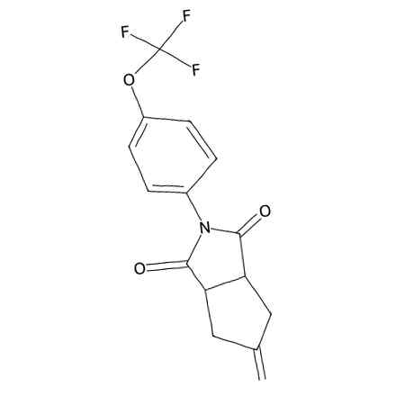 C=C1CC2C(=O)N(c3ccc(OC(F)(F)F)cc3)C(=O)C2C1